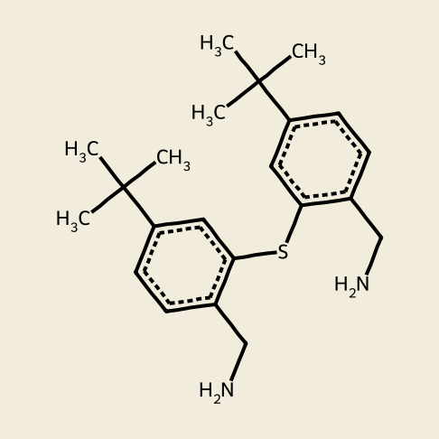 CC(C)(C)c1ccc(CN)c(Sc2cc(C(C)(C)C)ccc2CN)c1